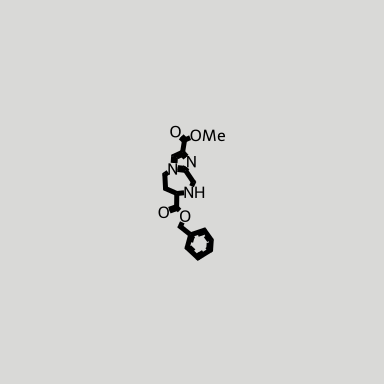 COC(=O)c1cn2c(n1)CNC(C(=O)OCc1ccccc1)CC2